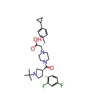 CC(C)(C)N1C[C@@H](C(=O)N2CCN([C@@H](Cc3ccc(C4CC4)cc3)C(=O)O)CC2)[C@H](c2ccc(F)cc2F)C1